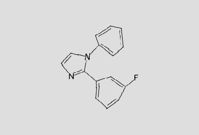 Fc1cccc(-c2nccn2-c2ccccc2)c1